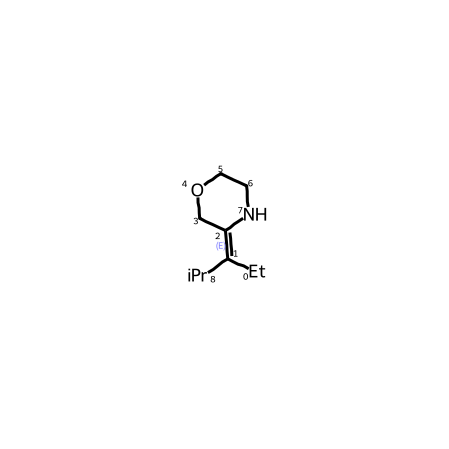 CC/C(=C1/COCCN1)C(C)C